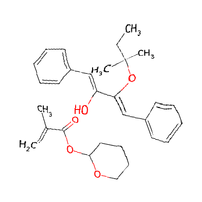 C=C(C)C(=O)OC1CCCCO1.CCC(C)(C)OC(=Cc1ccccc1)C(O)=Cc1ccccc1